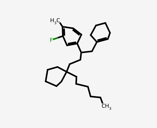 CCCCCCC1(CCC(CC2=CCCCC2)c2ccc(C)c(F)c2)CCCCC1